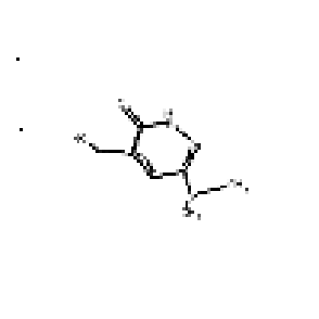 CN(C)c1cc(CO)c(=O)[nH]n1